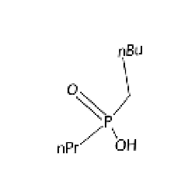 CCCCCP(=O)(O)CCC